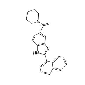 C=C(c1ccc2[nH]c(-c3cccc4ccccc34)nc2c1)N1CCCCC1